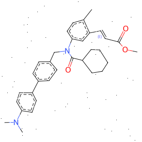 COC(=O)/C=C/c1cc(N(Cc2ccc(-c3ccc(N(C)C)cc3)cc2)C(=O)C2CCCCC2)ccc1C